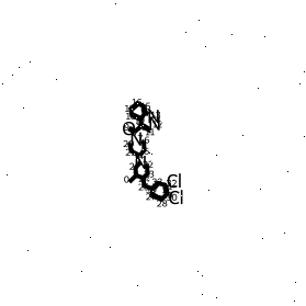 CC1CN(C2CCN(C(=O)c3cnnc4ccccc34)CC2)CCC1Cc1ccc(Cl)c(Cl)c1